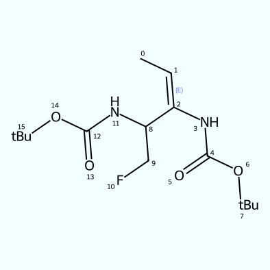 C/C=C(/NC(=O)OC(C)(C)C)C(CF)NC(=O)OC(C)(C)C